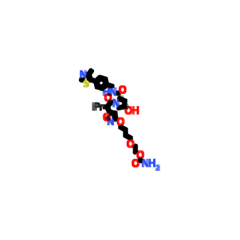 Cc1ncsc1-c1ccc(CNC(=O)[C@@H]2C[C@@H](O)CN2C(=O)C(c2cc(OCCCCOCCOC(N)=O)no2)C(C)C)cc1